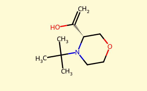 C=C(O)[C@@H]1COCCN1C(C)(C)C